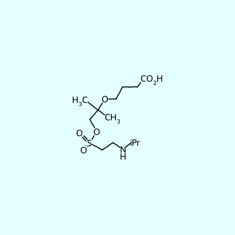 CC(C)NCCS(=O)(=O)OCC(C)(C)OCCCC(=O)O